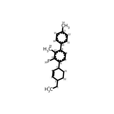 CCC1C=CC(c2ccc(-c3ccc(C)cc3)c(C)c2F)CC1